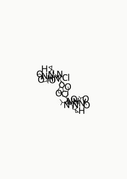 COC(=O)N[C@H](C(=O)N1CC2(CC2)C[C@H]1c1nc(Cl)c(-c2cc3c4c(c2)OCc2cc(-c5[nH]c([C@@H]6CC7(CC7)CN6C(=O)[C@@H](NC(=O)OC)C(C)C)nc5C(C)C)cc(c2-4)OC3)[nH]1)C(C)C